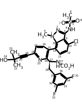 Cn1nc(NS(C)(=O)=O)c2c(Cl)ccc(-c3ccc(C#CC(C)(C)O)nc3[C@H](Cc3cc(F)cc(F)c3)NC(=O)O)c21